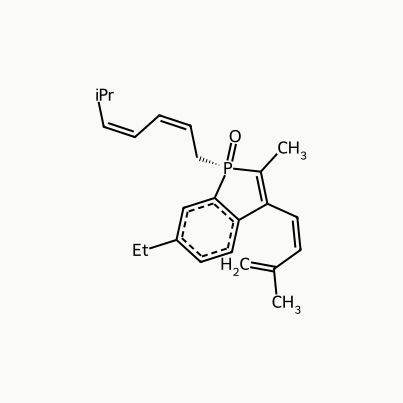 C=C(C)/C=C\C1=C(C)[P@@](=O)(C/C=C\C=C/C(C)C)c2cc(CC)ccc21